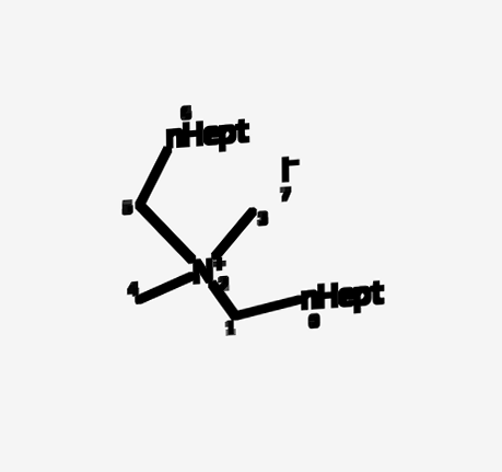 CCCCCCCC[N+](C)(C)CCCCCCCC.[I-]